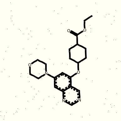 CCOC(=O)C1CCC(Oc2cc(N3CCOCC3)cc3ncncc23)CC1